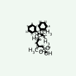 C[C@@H](CCO[Si](c1ccccc1)(c1ccccc1)C(C)(C)C)CS(=O)(=O)O